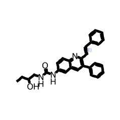 CCC(O)CNC(=O)Nc1ccc2nc(/C=C/c3ccccc3)c(-c3ccccc3)cc2c1